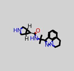 CC(C)(NC(=O)[C@H]1[C@@H]2CNC[C@@H]21)c1nn2c3c(cccc13)CCC2